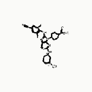 N#Cc1cc(F)c(Nc2nc3cnc(N[C@@H]4CCC[C@H](O)C4)nc3n2C2CCC(C(N)=O)CC2)c(F)c1